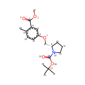 COC(=O)c1cc(OC[C@@H]2CCCN2C(=O)OC(C)(C)C)ccc1C